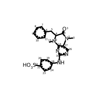 CN1C(=O)C(Cc2ccccc2)N(C)c2nc(Nc3ccc(S(=O)(=O)O)cc3)ncc21